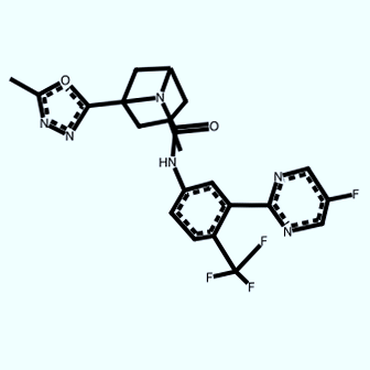 Cc1nnc(C23CC(C)CC(C2)N3C(=O)Nc2ccc(C(F)(F)F)c(-c3ncc(F)cn3)c2)o1